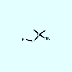 CCCC[Si](C)(C)OC(C)C